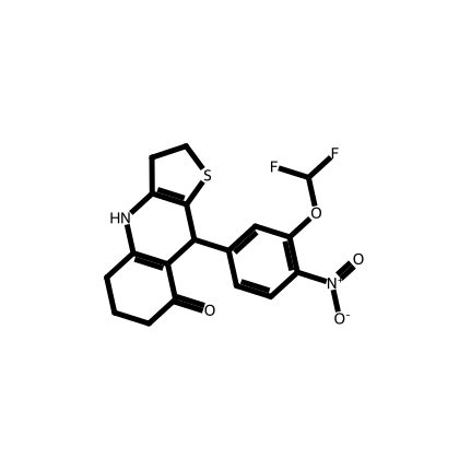 O=C1CCCC2=C1C(c1ccc([N+](=O)[O-])c(OC(F)F)c1)C1=C(CCS1)N2